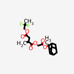 C=C(CC(=O)OCC(C)(F)F)C(=O)OCC(=O)OC1(C)C2CC3CC(C2)CC1C3